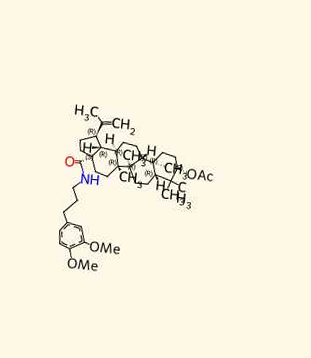 C=C(C)[C@@H]1CC[C@]2(C(=O)NCCCc3ccc(OC)c(OC)c3)CC[C@]3(C)[C@H](CC[C@@H]4[C@@]5(C)CC[C@H](OC(C)=O)C(C)(C)[C@@H]5CC[C@]43C)[C@@H]12